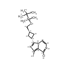 CC(C)(C)[Si](C)(C)OC[C@H]1C[C@H](c2nc(I)c3c(Cl)nccn32)C1